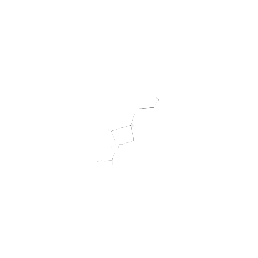 CC(C)(C)COC1CN(CC(C)(C)C)C1